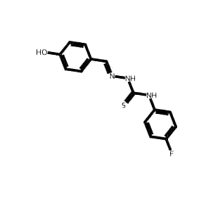 Oc1ccc(/C=N/NC(=S)Nc2ccc(F)cc2)cc1